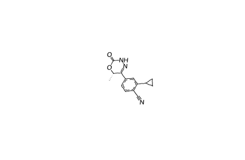 C[C@@H]1OC(=O)NN=C1c1ccc(C#N)c(C2CC2)c1